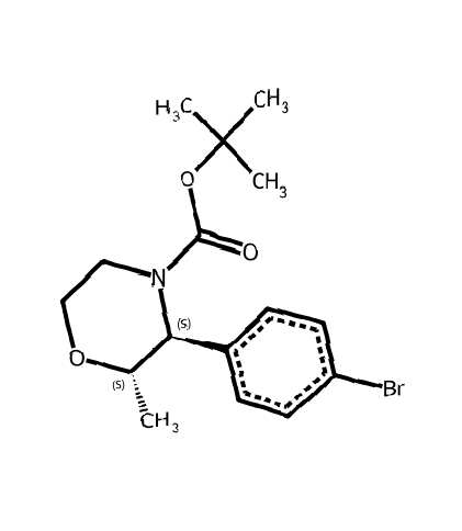 C[C@@H]1OCCN(C(=O)OC(C)(C)C)[C@H]1c1ccc(Br)cc1